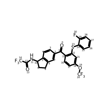 O=C(c1ccc2c(c1)CCC2NC(=O)C(F)(F)F)c1ccc(OC(F)(F)F)cc1Sc1ccccc1F